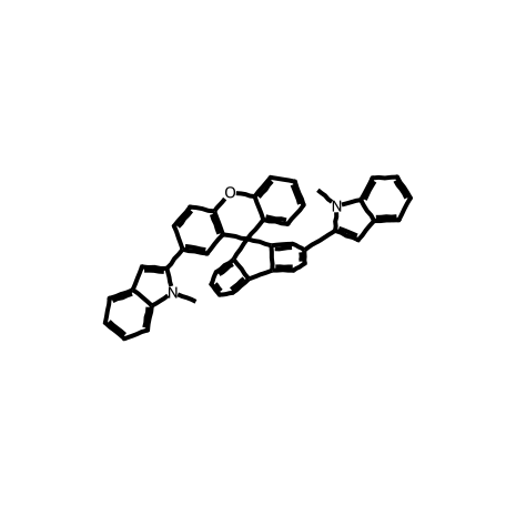 Cn1c(-c2ccc3c(c2)C2(c4ccccc4O3)c3ccccc3-c3ccc(-c4cc5ccccc5n4C)cc32)cc2ccccc21